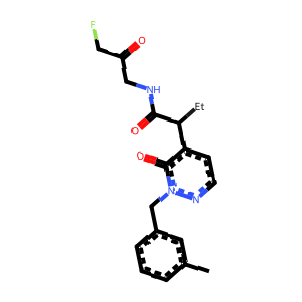 CCC(C(=O)NCC(=O)CF)c1ccnn(Cc2cccc(C)c2)c1=O